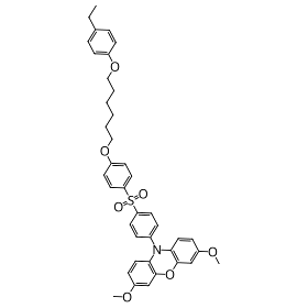 CCc1ccc(OCCCCCCOc2ccc(S(=O)(=O)c3ccc(N4c5ccc(OC)cc5Oc5cc(OC)ccc54)cc3)cc2)cc1